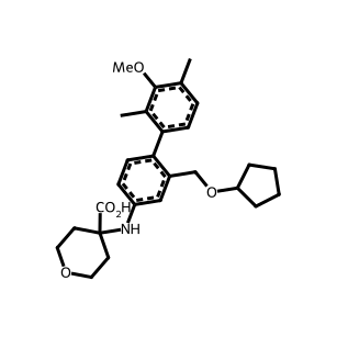 COc1c(C)ccc(-c2ccc(NC3(C(=O)O)CCOCC3)cc2COC2CCCC2)c1C